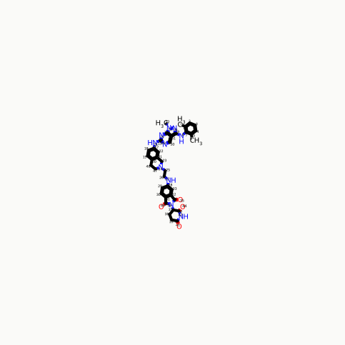 Cc1cccc(C)c1Nc1nn(C)c2nc(Nc3ccc4c(c3)CN(CCNc3ccc5c(c3)C(=O)N(C3CCC(=O)NC3=O)C5=O)CC4)ncc12